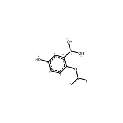 CC(C)Oc1ccc(O)cc1B(O)O